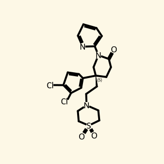 O=C1CC[C@](CCN2CCS(=O)(=O)CC2)(c2ccc(Cl)c(Cl)c2)CN1c1ccccn1